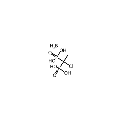 B.CC(Cl)(P(=O)(O)O)P(=O)(O)O